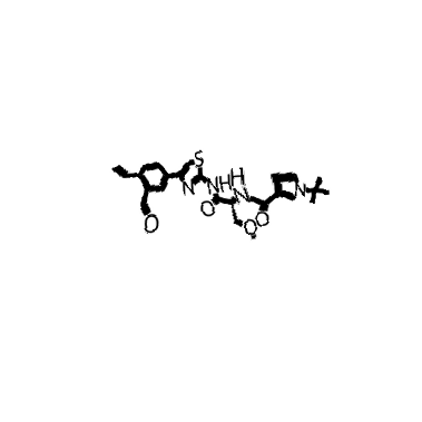 C=Cc1ccc(-c2csc(NC(=O)[C@H](COC)NC(=O)c3ccn(C(C)(C)C)c3)n2)cc1C=O